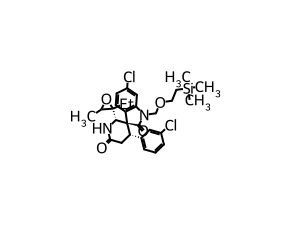 CCC1([C@H]2NC(=O)C[C@@H](c3cccc(Cl)c3)[C@]23C(=O)N(COCC[Si](C)(C)C)c2cc(Cl)ccc23)OC1C